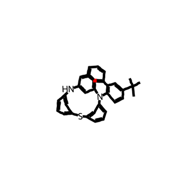 CC(C)(C)c1ccc(N2c3cccc(c3)Nc3cccc(c3)Sc3cccc2c3)c(-c2ccccc2)c1